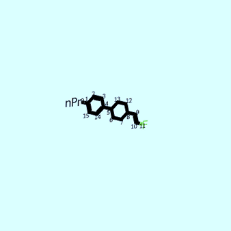 CCCc1ccc(C2CCC(C=CF)CC2)cc1